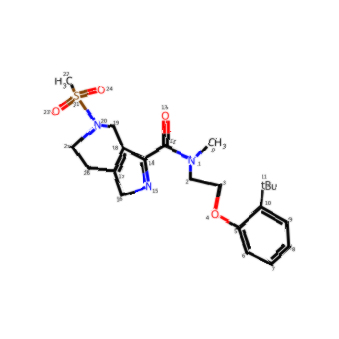 CN(CCOc1ccccc1C(C)(C)C)C(=O)C1=NCC2=C1CN(S(C)(=O)=O)CC2